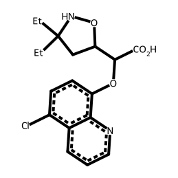 CCC1(CC)CC(C(Oc2ccc(Cl)c3cccnc23)C(=O)O)ON1